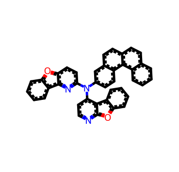 c1ccc2c(c1)ccc1ccc3cc(N(c4ccc5oc6ccccc6c5n4)c4ccnc5oc6ccccc6c45)ccc3c12